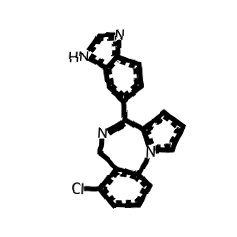 Clc1cccc2c1CN=C(c1ccc3nc[nH]c3c1)c1cccn1-2